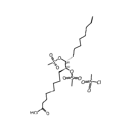 CCCCCCCC[C@@H](OS(C)(=O)=O)[C@H](CCCCCCCC(=O)O)OS(C)(=O)=O.CS(=O)(=O)Cl